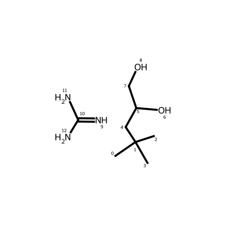 CC(C)(C)CC(O)CO.N=C(N)N